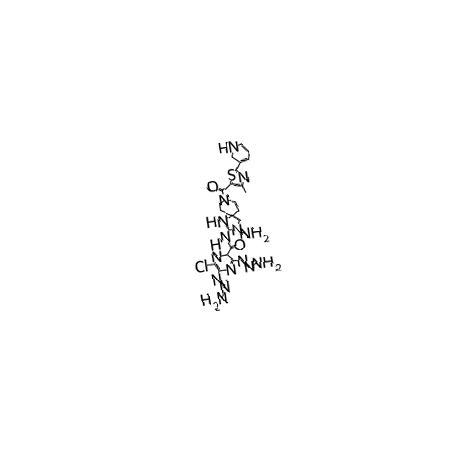 Cc1nc(C2=CC=CNC2)sc1C(=O)N1CCC2(CC1)CN(N)/C(=N\C(=O)C1NC(Cl)=C(N=NN)N=C1N=NN)N2